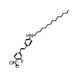 CCCCCCCCCCCCCCNc1ccc(C=Cc2ccc([N+](=O)[O-])c(F)c2)cc1